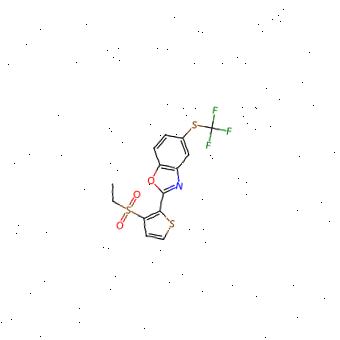 CCS(=O)(=O)c1ccsc1-c1nc2cc(SC(F)(F)F)ccc2o1